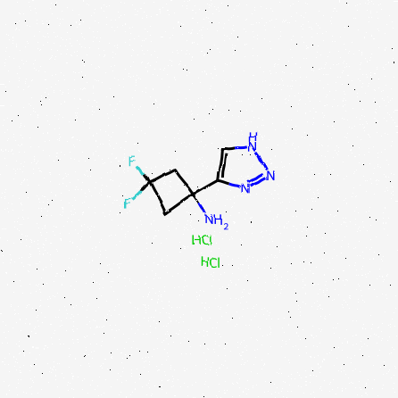 Cl.Cl.NC1(c2c[nH]nn2)CC(F)(F)C1